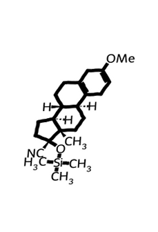 COC1=CCC2=C(CC[C@@H]3[C@@H]2CC[C@@]2(C)[C@H]3CC[C@@]2(C#N)O[Si](C)(C)C)C1